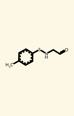 Cc1ccc(SNCC=O)cc1